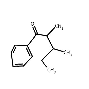 CCC(C)C(C)C(=O)c1ccccc1